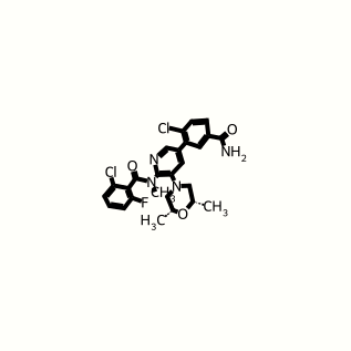 C[C@@H]1CN(c2cc(-c3cc(C(N)=O)ccc3Cl)cnc2N(C)C(=O)c2c(F)cccc2Cl)C[C@H](C)O1